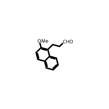 COc1ccc2ccccc2c1CCC=O